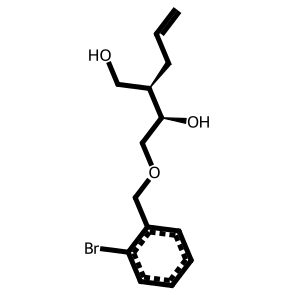 C=CC[C@H](CO)[C@@H](O)COCc1ccccc1Br